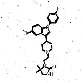 CC1(C)CNC(=O)N1CCN1CCC(c2cn(-c3ccc(F)cc3)c3ccc(Cl)cc23)CC1